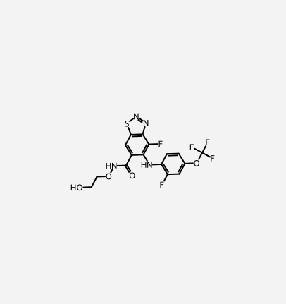 O=C(NOCCO)c1cc2snnc2c(F)c1Nc1ccc(OC(F)(F)F)cc1F